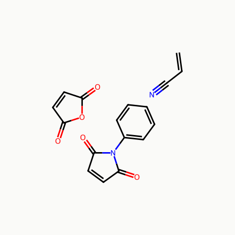 C=CC#N.O=C1C=CC(=O)N1c1ccccc1.O=C1C=CC(=O)O1